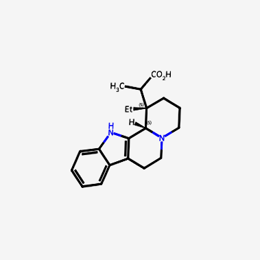 CC[C@@]1(C(C)C(=O)O)CCCN2CCc3c([nH]c4ccccc34)[C@@H]21